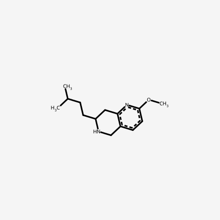 COc1ccc2c(n1)CC(CCC(C)C)NC2